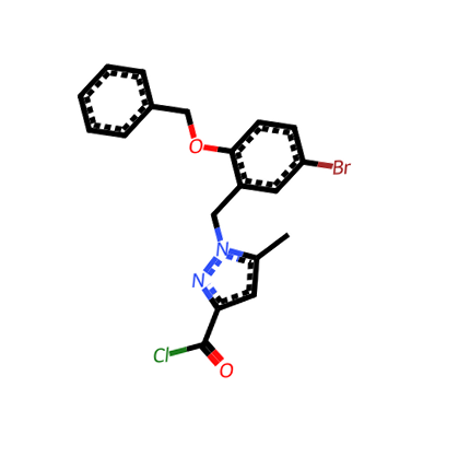 Cc1cc(C(=O)Cl)nn1Cc1cc(Br)ccc1OCc1ccccc1